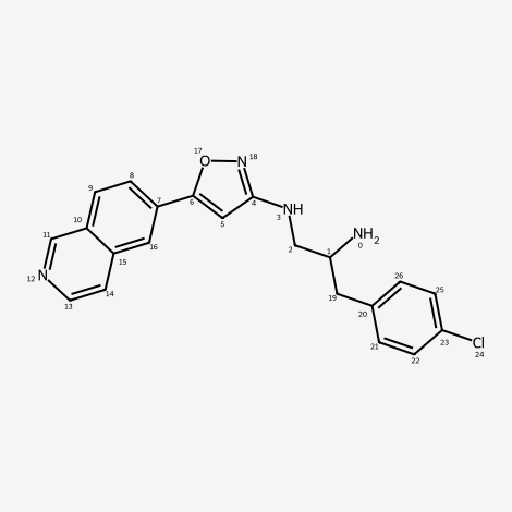 NC(CNc1cc(-c2ccc3cnccc3c2)on1)Cc1ccc(Cl)cc1